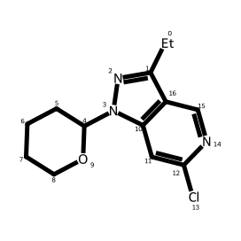 CCc1nn(C2CCCCO2)c2cc(Cl)ncc12